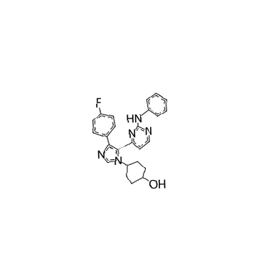 OC1CCC(n2cnc(-c3ccc(F)cc3)c2-c2ccnc(Nc3ccccc3)n2)CC1